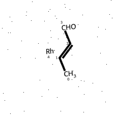 CC=CC=O.[Rh]